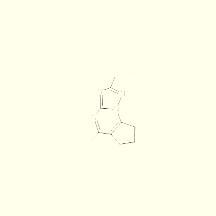 O=C(O)c1nc2nc(S)c3c(n2n1)CCC3